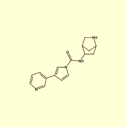 O=C(NC1CC2CC1CN2)n1ccc(-c2cccnc2)c1